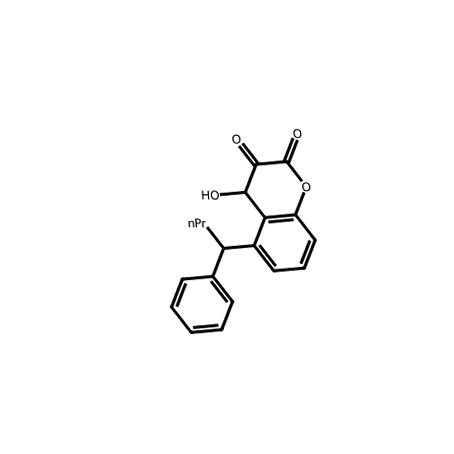 CCCC(c1ccccc1)c1cccc2c1C(O)C(=O)C(=O)O2